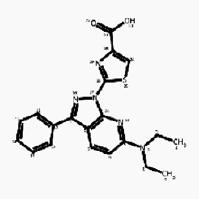 CCN(CC)c1ccc2c(-c3ccccc3)nn(-c3nc(C(=O)O)cs3)c2n1